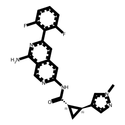 Cn1cc([C@H]2C[C@@H]2C(=O)Nc2cc3cc(-c4c(F)cccc4F)nc(N)c3cn2)cn1